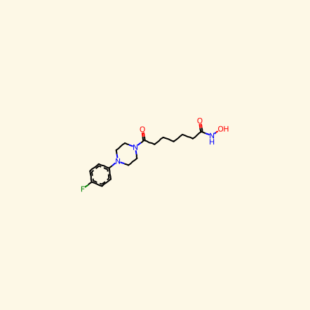 O=C(CCCCCC(=O)N1CCN(c2ccc(F)cc2)CC1)NO